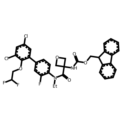 CCN(C(=O)C1(NC(=O)OCC2c3ccccc3-c3ccccc32)COC1)c1ccc(-c2cc(Cl)cc(Cl)c2OCC(F)F)cc1F